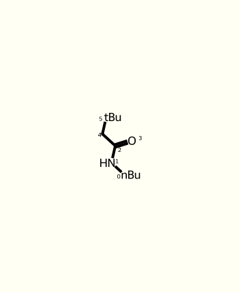 CCCCNC(=O)CC(C)(C)C